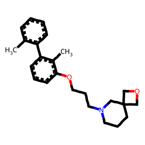 Cc1ccccc1-c1cccc(OCCCN2CCCC3(COC3)C2)c1C